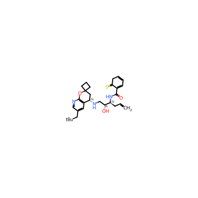 C=CC[C@H](NC(=O)C1=CC=CCC1=S)[C@H](O)CN[C@H]1CC2(CCC2)Oc2ncc(CC(C)(C)C)cc21